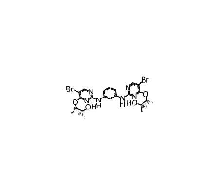 C[C@@H](O)[C@@H](C)Oc1nc(Nc2cccc(Nc3ncc(Br)c(O[C@H](C)[C@@H](C)O)n3)c2)ncc1Br